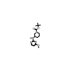 COc1ccnc(NC2CCCN(C(=O)OC(C)(C)C)C2)n1